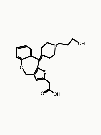 O=C(O)Cc1cc2c(s1)C(=C1CCN(CCCO)CC1)c1ccccc1OC2